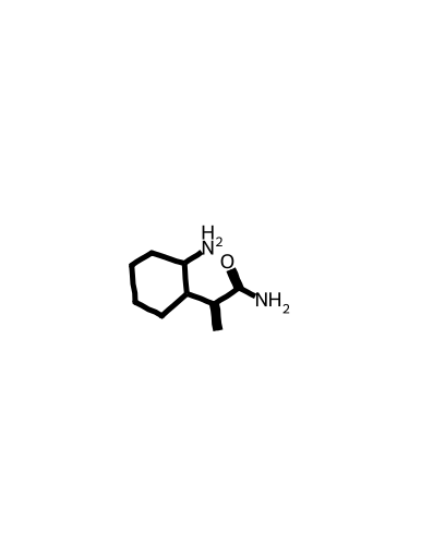 C=C(C(N)=O)C1CCCCC1N